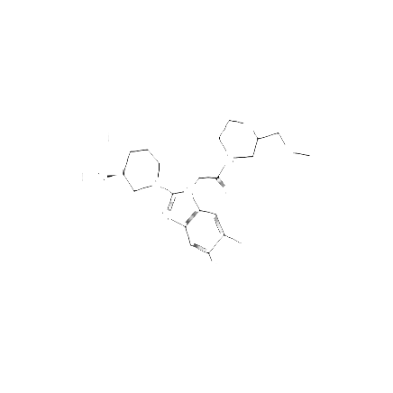 COCC1CN(C(=O)Cn2c(N3CC[C@@H](F)[C@H](N)C3)nc3cc(F)c(F)cc32)CCO1